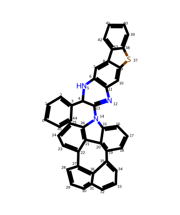 c1ccc(C2Nc3cc4c(cc3N=C2n2c3cccc5c3c3c(cccc32)-c2cccc3cccc-5c23)sc2ccccc24)cc1